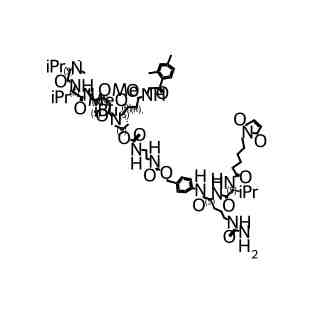 CC[C@H](C)[C@@H]([C@@H](CC(=O)N1C[C@@H](OC(=O)NCCNC(=O)OCc2ccc(NC(=O)[C@H](CCCNC(N)=O)NC(=O)[C@@H](NC(=O)CCCCCN3C(=O)C=CC3=O)C(C)C)cc2)C[C@H]1[C@H](OC)[C@@H](C)C(=O)NCC(=O)c1ccc(C)cc1C)OC)N(C)C(=O)[C@@H](NC(=O)[C@H](C(C)C)N(C)C)C(C)C